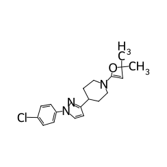 CC1(C)C=C(N2CCC(c3ccn(-c4ccc(Cl)cc4)n3)CC2)O1